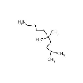 CC(C)CCC(C)(C)CCCCN